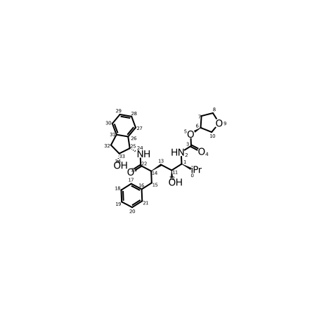 CC(C)[C@H](NC(=O)O[C@H]1CCOC1)[C@@H](O)C[C@@H](Cc1ccccc1)C(=O)N[C@H]1c2ccccc2C[C@H]1O